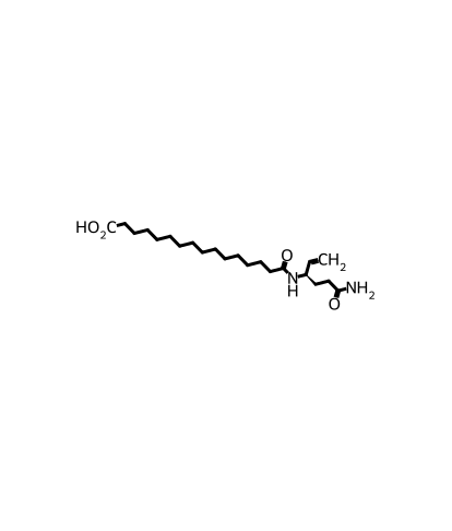 C=C[C@@H](CCC(N)=O)NC(=O)CCCCCCCCCCCCCCC(=O)O